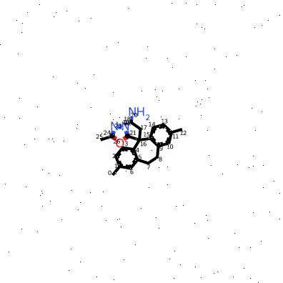 Cc1ccc2c(c1)CCc1cc(C)ccc1C2(C[C@@H](C)N)c1nnc(C)o1